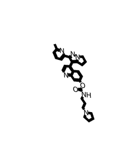 Cc1cccc(-c2nn3c(c2-c2ccnc4cc(OC(=O)NCCCN5CCCC5)ccc24)CCC3)n1